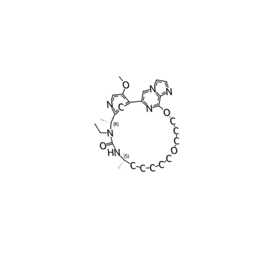 CCN1C(=O)N[C@@H](C)CCCCCOCCCOc2nc(cn3ccnc23)-c2cc(ncc2OC)[C@H]1C